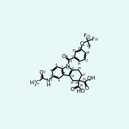 CC(=O)Nc1ccc2c(c1)c1c(n2C(=O)c2cccc(OC(F)(F)F)c2)CCC(C(=O)O)(C(=O)O)C1